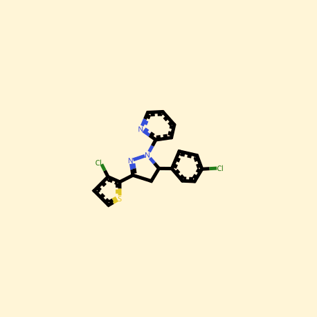 Clc1ccc(C2CC(c3sccc3Cl)=NN2c2ccccn2)cc1